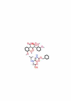 CC(C)C[C@H](NC(=O)OCc1ccccc1)C(=O)N[C@@H](C)C(=O)O.COc1cccc(C(C(=O)O)C(=O)C(C(=O)O)c2cccc(OC)c2OC)c1OC